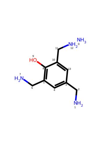 N.NCc1cc(CN)c(O)c(CN)c1